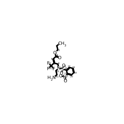 CCCOC(=O)/C=C(\CN(CCN)S(=O)(=O)c1ccccc1[N+](=O)[O-])C(F)(F)F